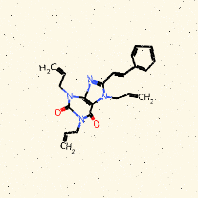 C=CCn1c(=O)c2c(nc(C=Cc3ccccc3)n2CC=C)n(CC=C)c1=O